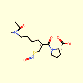 CC(=O)N(C)CCCC[C@H](CSN=O)C(=O)N1CCC[C@H]1C(=O)O